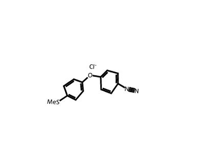 CSc1ccc(Oc2ccc([N+]#N)cc2)cc1.[Cl-]